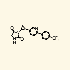 O=C1CNC(=O)N1C1CC1c1ccc(-c2ccc(C(F)(F)F)cc2)nc1